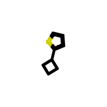 c1csc(C2CCC2)c1